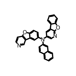 c1ccc2cc(N(c3ccc4oc5ccncc5c4c3)c3cnc4oc5ccccc5c4c3)ccc2c1